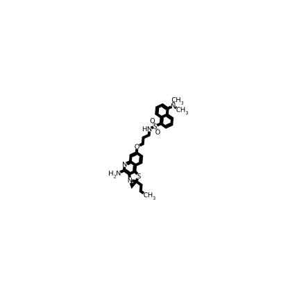 CCCC12CN1c1c(N)nc3cc(OCCCNS(=O)(=O)c4cccc5c(N(C)C)cccc45)ccc3c1S2